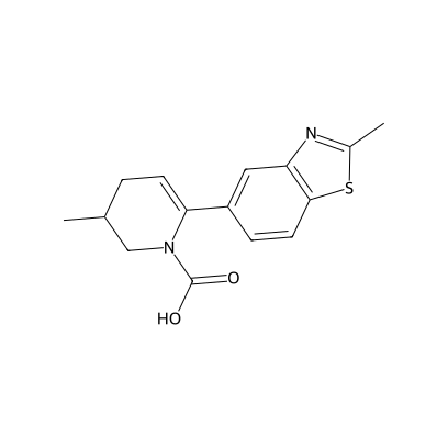 Cc1nc2cc(C3=CCC(C)CN3C(=O)O)ccc2s1